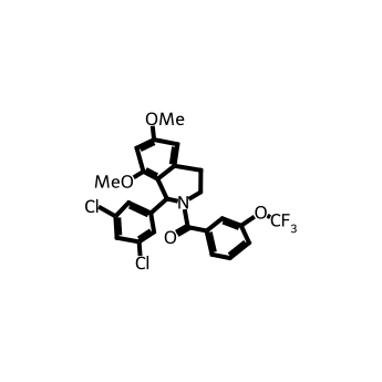 COc1cc2c(c(OC)c1)C(c1cc(Cl)cc(Cl)c1)N(C(=O)c1cccc(OC(F)(F)F)c1)CC2